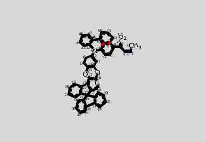 C=C(/C=C\C)c1ccc(N(C2=CC3=C(CC2)Oc2c(ccc4c2-c2ccccc2C42c4ccccc4-c4ccccc42)O3)c2ccccc2-c2ccccc2)cc1